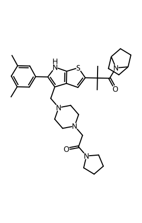 Cc1cc(C)cc(-c2[nH]c3sc(C(C)(C)C(=O)N4C5CCC4CC5)cc3c2CN2CCN(CC(=O)N3CCCC3)CC2)c1